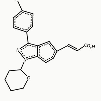 O=C(O)C=Cc1ccc2c(c1)c(-c1ccc(F)cc1)nn2C1CCCCO1